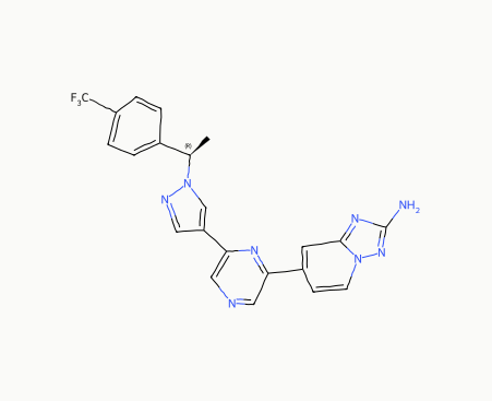 C[C@H](c1ccc(C(F)(F)F)cc1)n1cc(-c2cncc(-c3ccn4nc(N)nc4c3)n2)cn1